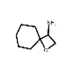 NC1COC12CCCCC2